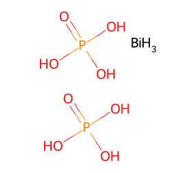 O=P(O)(O)O.O=P(O)(O)O.[BiH3]